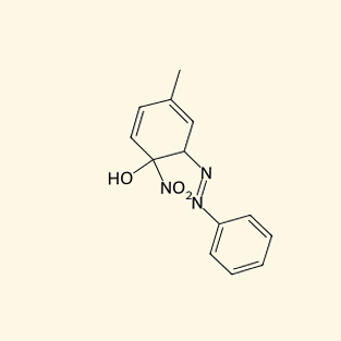 CC1=CC(/N=N/c2ccccc2)C(O)([N+](=O)[O-])C=C1